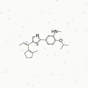 C/C=C(\C1=C(C)CCC1)c1cnc(-c2ccc(OC(C)C)c(NC)c2)s1